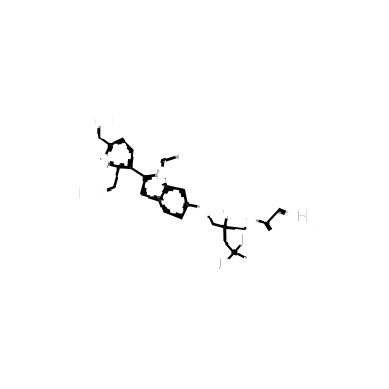 C=CC(=O)OCC(C)(COc1ccc2cc(-c3ccc(CC)nc3CC)n(CC)c2c1)CC(F)(F)F